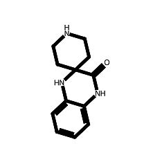 O=C1Nc2ccccc2NC12CCNCC2